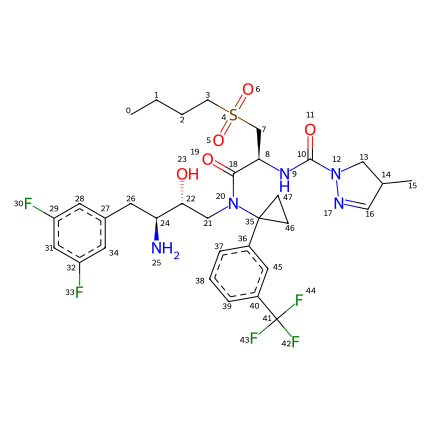 CCCCS(=O)(=O)C[C@@H](NC(=O)N1CC(C)C=N1)C(=O)N(C[C@@H](O)[C@@H](N)Cc1cc(F)cc(F)c1)C1(c2cccc(C(F)(F)F)c2)CC1